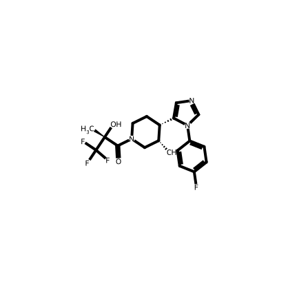 C[C@@H]1CN(C(=O)[C@@](C)(O)C(F)(F)F)CC[C@@H]1c1cncn1-c1ccc(F)cc1